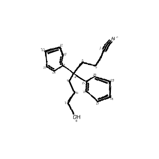 N#CCCC(CCCO)(c1ccccc1)c1ccccc1